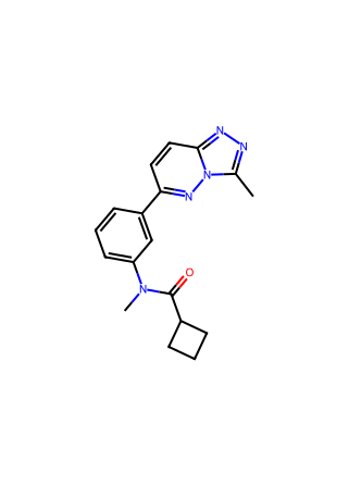 Cc1nnc2ccc(-c3cccc(N(C)C(=O)C4CCC4)c3)nn12